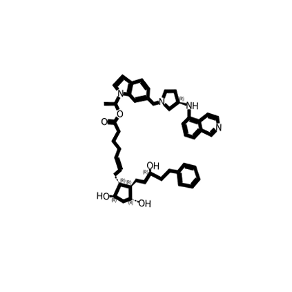 CC(OC(=O)CCCC=CC[C@@H]1[C@@H](CC[C@@H](O)CCc2ccccc2)[C@H](O)C[C@H]1O)n1ccc2ccc(CN3CC[C@@H](Nc4cccc5cnccc45)C3)cc21